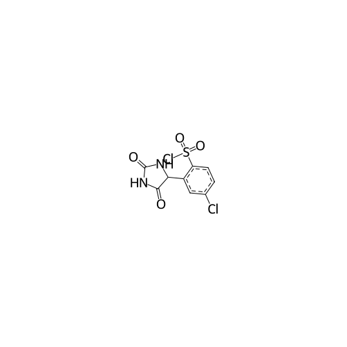 O=C1NC(=O)C(c2cc(Cl)ccc2S(=O)(=O)Cl)N1